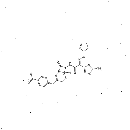 Nc1nc(C(=NOC2C=CCC2)C(=O)NC2C(=O)N3C=C(C[n+]4ccc(C(=O)[O-])cc4)CS[C@@H]23)cs1